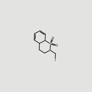 O=S1(=O)C2C=CC=CC2CCN1CI